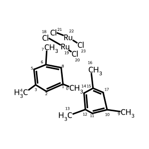 Cc1cc(C)cc(C)c1.Cc1cc(C)cc(C)c1.[Cl][Ru][Cl].[Cl][Ru][Cl]